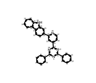 c1ccc(-c2nc(-c3ccccc3)nc(-c3ccnc(-c4ccc5c(c4)[nH]c4ccccc45)c3)n2)cc1